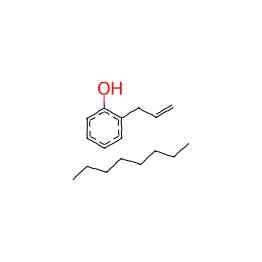 C=CCc1ccccc1O.CCCCCCCC